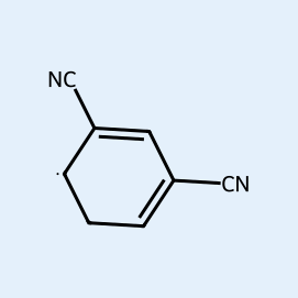 N#CC1=CC(C#N)=CC[CH]1